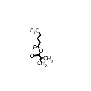 C=C(C)C(=O)OC(F)CCCC(F)(F)F